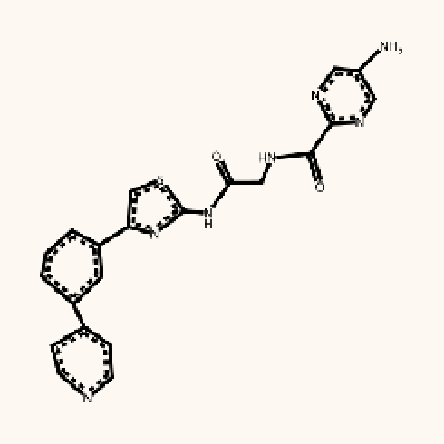 Nc1cnc(C(=O)NCC(=O)Nc2nc(-c3cccc(-c4ccncc4)c3)cs2)nc1